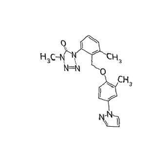 Cc1cc(-n2cccn2)ccc1OCc1c(C)cccc1-n1nnn(C)c1=O